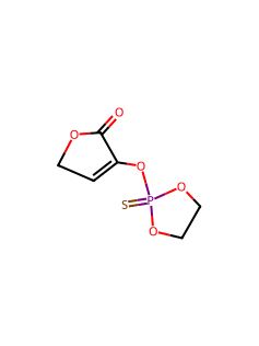 O=C1OCC=C1OP1(=S)OCCO1